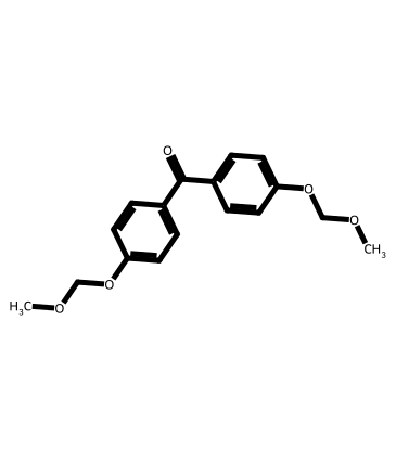 COCOc1ccc(C(=O)c2ccc(OCOC)cc2)cc1